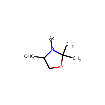 CC(=O)N1C(C=O)COC1(C)C